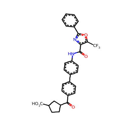 O=C(Nc1ccc(-c2ccc(C(=O)C3CCC(C(=O)O)C3)cc2)cc1)c1nc(-c2ccccc2)oc1C(F)(F)F